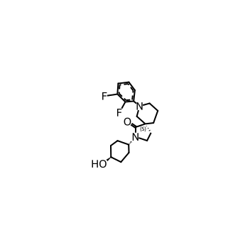 O=C1N([C@H]2CC[C@H](O)CC2)CC[C@]12CCCN(c1cccc(F)c1F)C2